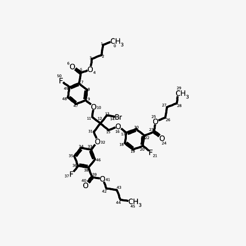 CCCCOC(=O)c1cc(OCC(CBr)(COc2ccc(F)c(C(=O)OCCCC)c2)COc2ccc(F)c(C(=O)OCCCC)c2)ccc1F